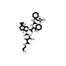 C=CCNC(=O)C(=O)C(CCC)NC(=O)[C@@H]1[C@H]2CCC3(CC3)[C@H]2CN1C(=O)[C@@H](NC(=O)NC1(CS(=O)(=O)C(C)(C)C)CCCCC1)C1(C)CCCCC1